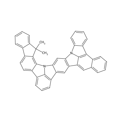 CC1(C)c2ccccc2-c2ccc3c4cccc5c6cc7c8cc9ccccc9c9c%10ccccc%10n(c7cc6n(c3c21)c54)c89